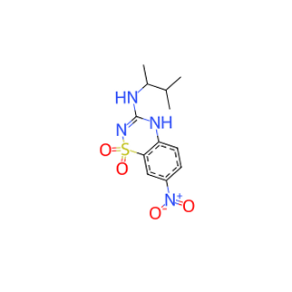 CC(C)C(C)NC1=NS(=O)(=O)c2cc([N+](=O)[O-])ccc2N1